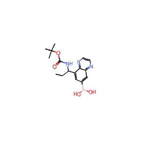 CCC(NC(=O)OC(C)(C)C)c1cc(B(O)O)cc2nccnc12